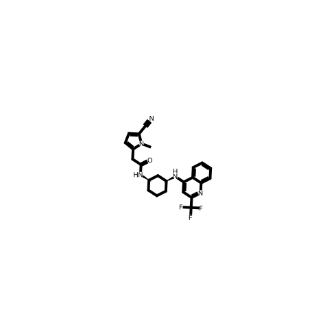 Cn1c(C#N)ccc1CC(=O)N[C@@H]1CCC[C@H](Nc2cc(C(F)(F)F)nc3ccccc23)C1